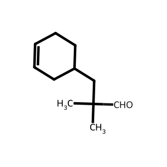 CC(C)(C=O)CC1CC=CCC1